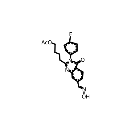 CC(=O)OCCCCc1nc2cc(/C=N/O)ccc2c(=O)n1-c1ccc(F)cc1